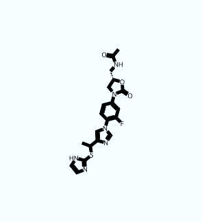 CC(=O)NC[C@H]1CN(c2ccc(-n3cnc(C(C)Sc4ncc[nH]4)c3)c(F)c2)C(=O)O1